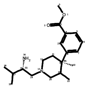 COC(=O)c1cccc([C@]2(C)CCN(C[C@@H](N)C(C)C)CC2C)c1